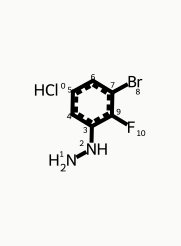 Cl.NNc1cccc(Br)c1F